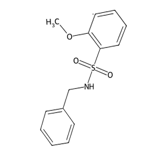 COc1[c]cccc1S(=O)(=O)NCc1ccccc1